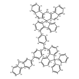 c1ccc(C2(c3ccccc3)c3ccccc3-c3c(N(c4ccc(-c5ccc6c(c5)oc5ccccc56)cc4)c4ccc(-c5cccc6c5-c5ccccc5C65c6ccc7ccccc7c6Oc6c5ccc5ccccc65)cc4)cccc32)cc1